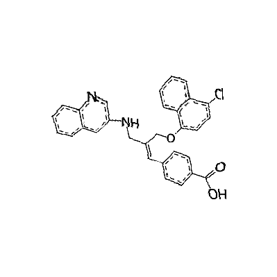 O=C(O)c1ccc(C=C(CNc2cnc3ccccc3c2)COc2ccc(Cl)c3ccccc23)cc1